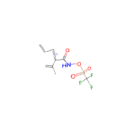 C=C/C=C(\C(=C)C)C(=O)NOS(=O)(=O)C(F)(F)F